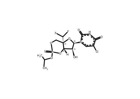 CC(C)OP1(=S)OC[C@@]2(C(F)F)O[C@@H](n3cc(Cl)c(=O)[nH]c3=O)[C@@H](O)[C@@H]2O1